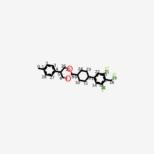 Cc1ccc(C2COC(C3CCC(c4cc(F)c(CF)c(F)c4)CC3)OC2)cc1